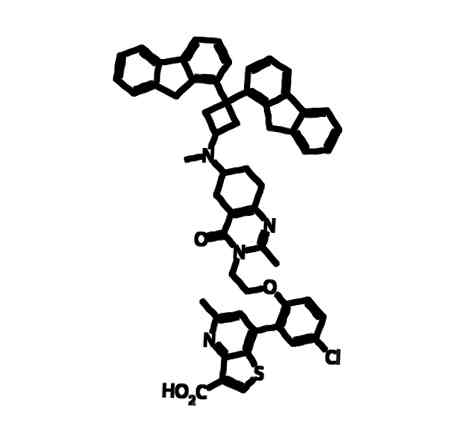 Cc1cc(-c2cc(Cl)ccc2OCCn2c(C)nc3c(c2=O)CC(N(C)C2CC(c4cccc5c4Cc4ccccc4-5)(c4cccc5c4Cc4ccccc4-5)C2)CC3)c2scc(C(=O)O)c2n1